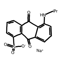 CC(C)Nc1cccc2c1C(=O)c1cccc(S(=O)(=O)[O-])c1C2=O.[Na+]